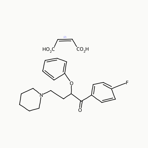 O=C(O)/C=C\C(=O)O.O=C(c1ccc(F)cc1)C(CCN1CCCCC1)Oc1ccccc1